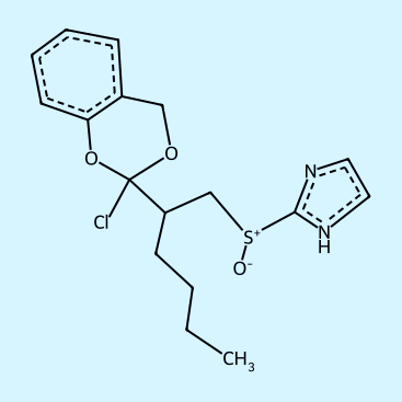 CCCCC(C[S+]([O-])c1ncc[nH]1)C1(Cl)OCc2ccccc2O1